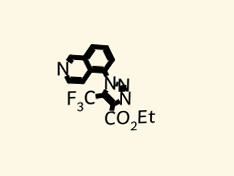 CCOC(=O)c1nnn(-c2cccc3cnccc23)c1C(F)(F)F